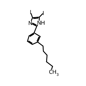 CCCCCCc1cccc(-c2nc(I)c(I)[nH]2)c1